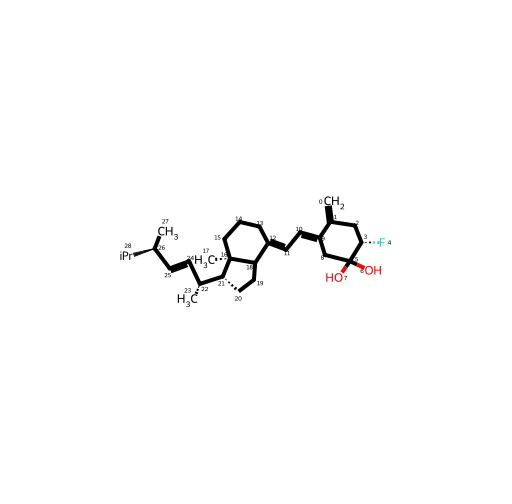 C=C1C[C@H](F)C(O)(O)CC1=CC=C1CCC[C@@]2(C)C1CC[C@@H]2[C@H](C)/C=C/[C@H](C)C(C)C